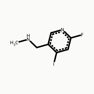 CNCc1cnc(F)cc1I